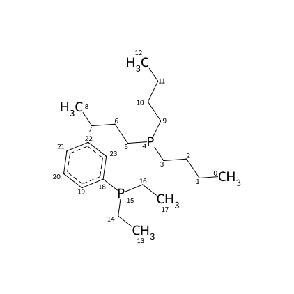 CCCCP(CCCC)CCCC.CCP(CC)c1ccccc1